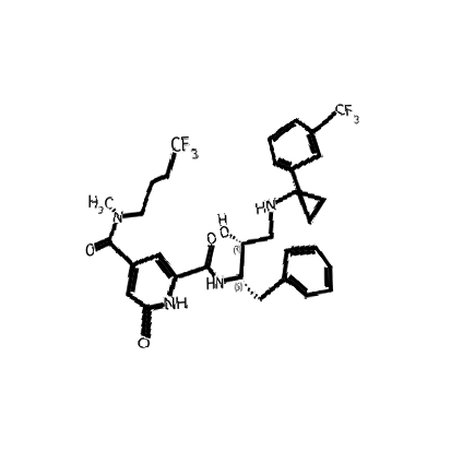 CN(CCCC(F)(F)F)C(=O)c1cc(C(=O)N[C@@H](Cc2ccccc2)[C@H](O)CNC2(c3cccc(C(F)(F)F)c3)CC2)[nH]c(=O)c1